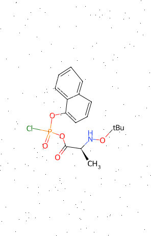 C[C@H](NOC(C)(C)C)C(=O)OP(=O)(Cl)Oc1cccc2ccccc12